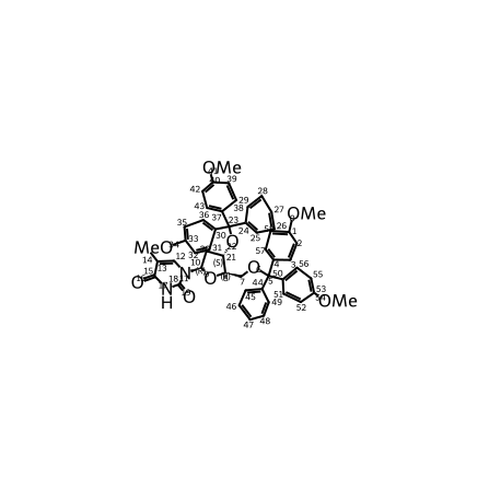 COc1ccc(C(OC[C@H]2O[C@@H](n3cc(C)c(=O)[nH]c3=O)C[C@@H]2OC(c2ccccc2)(c2ccc(OC)cc2)c2ccc(OC)cc2)(c2ccccc2)c2ccc(OC)cc2)cc1